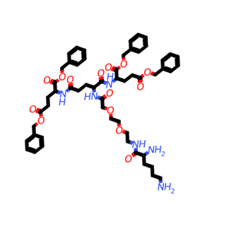 NCCCCC(N)C(=O)NCCOCCOCC(=O)NC(CCC(=O)NC(CCC(=O)OCc1ccccc1)C(=O)OCc1ccccc1)C(=O)NC(CCC(=O)OCc1ccccc1)C(=O)OCc1ccccc1